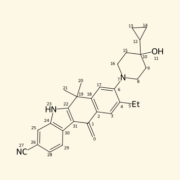 C=C1c2cc(CC)c(N3CCC(O)(C4CC4)CC3)cc2C(C)(C)c2[nH]c3cc(C#N)ccc3c21